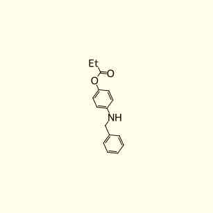 CCC(=O)Oc1ccc(NCc2ccccc2)cc1